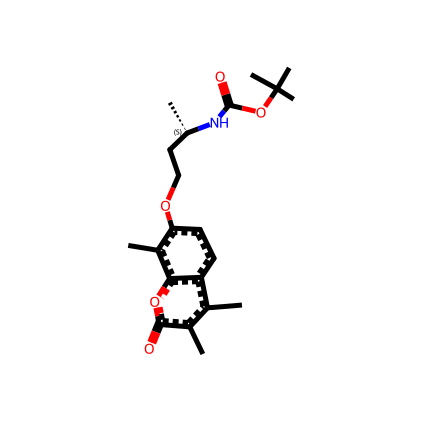 Cc1c(C)c2ccc(OCC[C@H](C)NC(=O)OC(C)(C)C)c(C)c2oc1=O